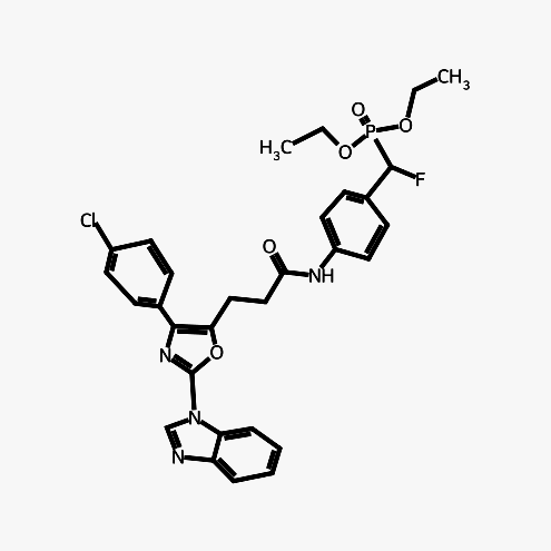 CCOP(=O)(OCC)C(F)c1ccc(NC(=O)CCc2oc(-n3cnc4ccccc43)nc2-c2ccc(Cl)cc2)cc1